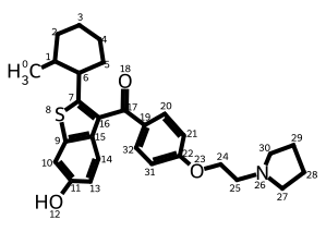 CC1CCCCC1c1sc2cc(O)ccc2c1C(=O)c1ccc(OCCN2CCCC2)cc1